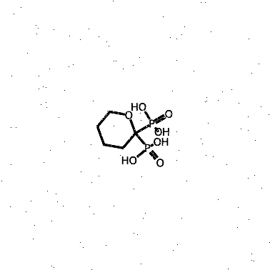 O=P(O)(O)C1(P(=O)(O)O)CCCCO1